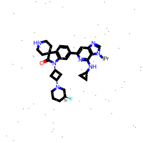 CC(C)n1cnc2cc(-c3ccc4c(c3)N([C@H]3C[C@@H](N5CCC[C@H](F)C5)C3)C(=O)C43CCNCC3)nc(NC3CC3)c21